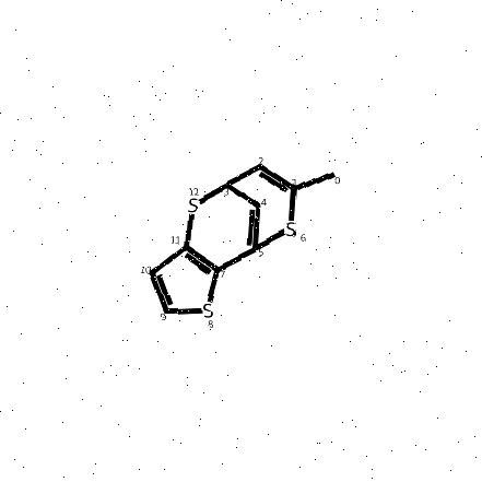 CC1=CC2C=C(S1)c1sccc1S2